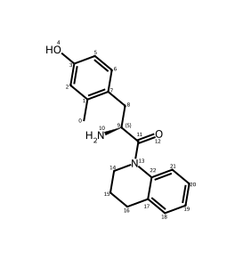 Cc1cc(O)ccc1C[C@H](N)C(=O)N1CCCc2ccccc21